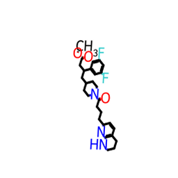 COC(=O)CC(CC1CCN(C(=O)CCCc2ccc3c(n2)NCCC3)CC1)c1cc(F)cc(F)c1